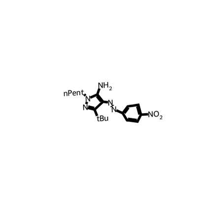 CCCCCn1nc(C(C)(C)C)c(N=Nc2ccc([N+](=O)[O-])cc2)c1N